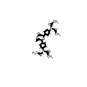 CC1OC1N(c1ccc(C(OC(c2ccc(N(C3OC3C)C3OC3C)cc2)C2CO2)C2CO2)cc1)C1OC1C